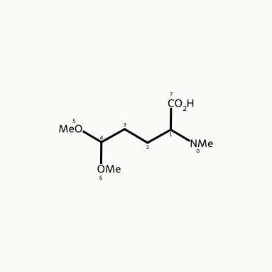 CNC(CCC(OC)OC)C(=O)O